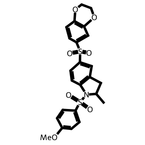 COc1ccc(S(=O)(=O)N2c3ccc(S(=O)(=O)c4ccc5c(c4)OCCO5)cc3CC2C)cc1